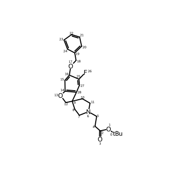 CC(C)(C)OC(=O)CCN1CCC2(CC1)COc1cc(OCc3ccccc3)c(F)cc12